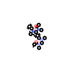 Cc1ccc2oc3c(c2c1)N(c1ccccc1)c1cccc2c1B3c1cc3c(cc1N2c1ccccc1)C(C)(C)CCC3(C)CCc1cccc(C)c1N1c2cc3c(cc2B2c4oc5ccccc5c4N(c4ccccc4)c4cccc1c42)C(C)(C)CCC3(C)C